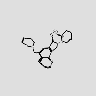 O=C1c2cc(CN3CCCCC3)c3cccnc3c2CN1[C@H]1CCCC[C@@H]1O